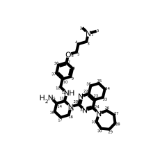 CN(C)CCCOc1ccc(CNC2C(N)CCCN2c2nc3c(c(N4CCCCCC4)n2)CCCC3)cc1